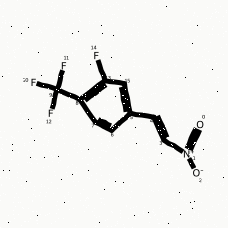 O=[N+]([O-])/C=C/c1ccc(C(F)(F)F)c(F)c1